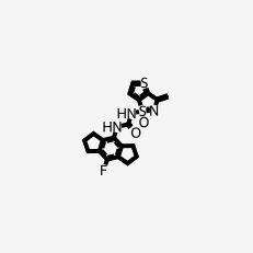 C=C1N=S(=O)(NC(=O)Nc2c3c(c(F)c4c2CCC4)CCC3)c2ccsc21